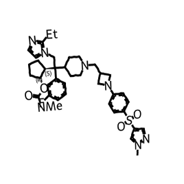 CCc1nccn1CC(c1cccc(F)c1)(C1CCN(CC2CN(c3ccc(S(=O)(=O)c4cnn(C)c4)cc3)C2)CC1)[C@@H]1CCC[C@H]1OC(=O)NC